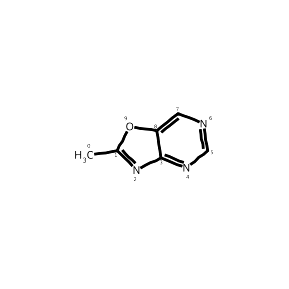 Cc1nc2ncncc2o1